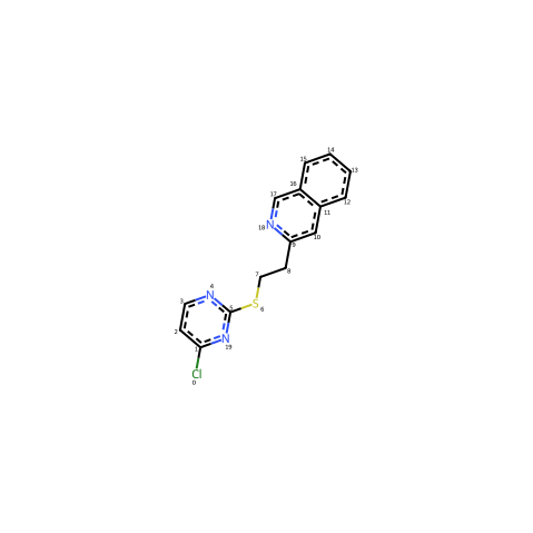 Clc1ccnc(SCCc2cc3ccccc3cn2)n1